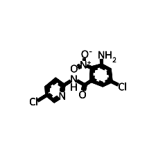 Nc1cc(Cl)cc(C(=O)Nc2ccc(Cl)cn2)c1[N+](=O)[O-]